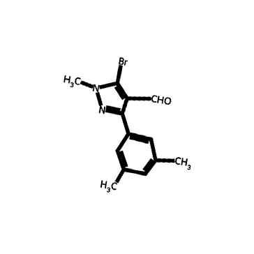 Cc1cc(C)cc(-c2nn(C)c(Br)c2C=O)c1